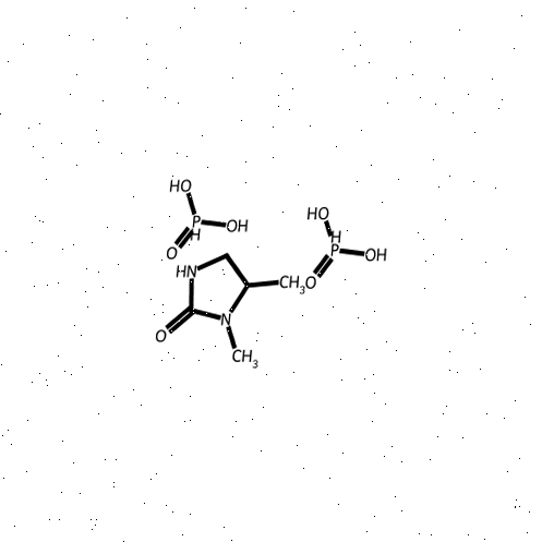 CC1CNC(=O)N1C.O=[PH](O)O.O=[PH](O)O